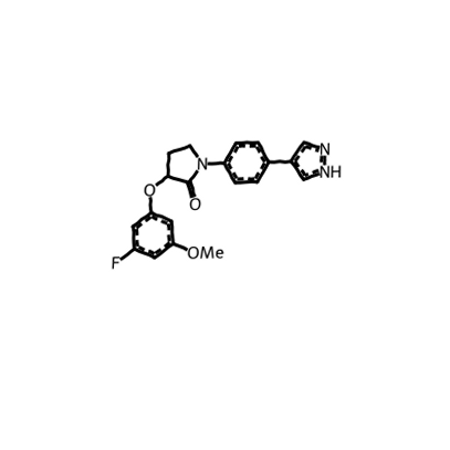 COc1cc(F)cc(OC2CCN(c3ccc(-c4cn[nH]c4)cc3)C2=O)c1